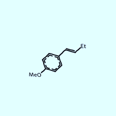 CC/C=C/c1ccc(OC)cc1